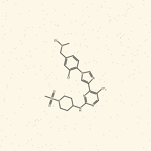 CCN(C)Cc1ccc(-n2cnc(-c3nc(NC4CCN(S(C)(=O)=O)CC4)ncc3C(F)(F)F)c2)c(Cl)c1